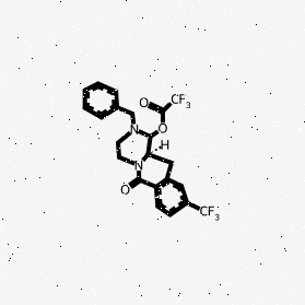 O=C1c2ccc(C(F)(F)F)cc2C[C@@H]2C(OC(=O)C(F)(F)F)N(Cc3ccccc3)CCN12